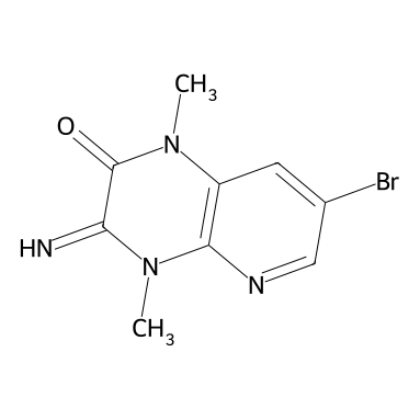 Cn1c(=O)c(=N)n(C)c2ncc(Br)cc21